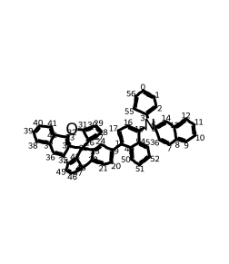 c1ccc(N(c2ccc3ccccc3c2)c2ccc(-c3ccc4c(c3)C3(c5ccccc5Oc5c3ccc3ccccc53)c3ccccc3-4)c3ccccc23)cc1